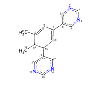 CC1=CC(c2cncnc2)=CC(c2cncnc2)C1C